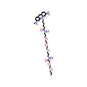 CCCOCCOCC(=O)NCCCOCCOCCOCCCNC(=O)CCCCC[n+]1c2cc(N(C)C)ccc2cc2ccc(N(C)C)cc21